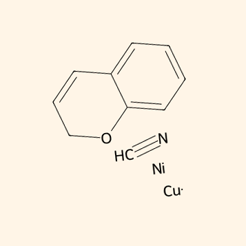 C#N.C1=Cc2ccccc2OC1.[Cu].[Ni]